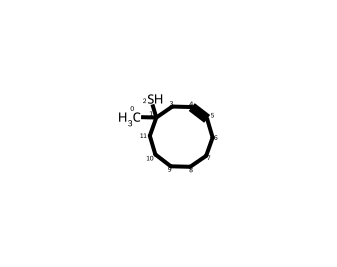 CC1(S)CC#CCCCCCC1